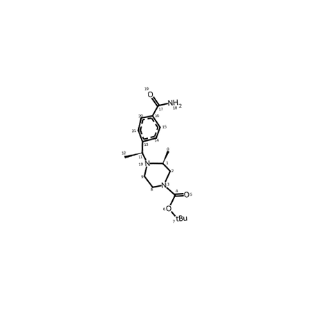 C[C@H]1CN(C(=O)OC(C)(C)C)CCN1[C@@H](C)c1ccc(C(N)=O)cc1